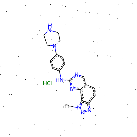 CC(C)n1nnc2ccc3cnc(Nc4ccc(N5CCNCC5)cc4)nc3c21.Cl